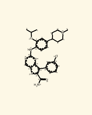 CC(C)Oc1cc(C2CCN(C)CC2)ccc1Nc1ncc2sc(C(N)=O)c(-c3cccc(Cl)c3)c2n1